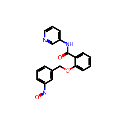 O=Nc1cccc(COc2ccccc2C(=O)Nc2cccnc2)c1